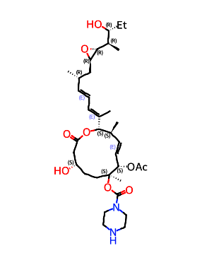 CC[C@@H](O)[C@@H](C)[C@H]1O[C@@H]1C[C@@H](C)/C=C/C=C(\C)[C@H]1OC(=O)C[C@@H](O)CC[C@](C)(OC(=O)N2CCNCC2)[C@@H](OC(C)=O)/C=C/[C@@H]1C